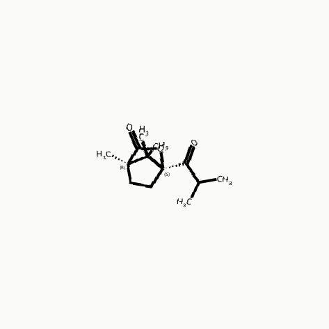 CC(C)C(=O)[C@@]12CC[C@@](C)(C(=O)O1)C2(C)C